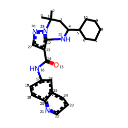 CC1(C)CC(C2CCCCC2)Nc2c(C(=O)Nc3ccc4ncccc4c3)cnn21